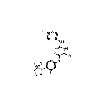 CCCC(NC(=O)Nc1ccc(Cl)cc1)C(=O)Nc1ccc(N2CCCS2(=O)=O)c(C)c1